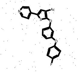 CC(=O)c1cc(-c2ccncc2)sc1Oc1cccc(Oc2ccc(F)cc2)c1